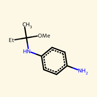 CCC(C)(Nc1ccc(N)cc1)OC